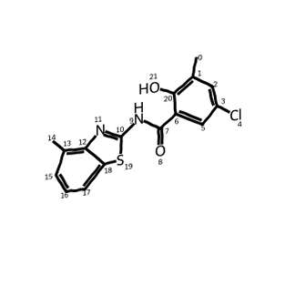 Cc1cc(Cl)cc(C(=O)Nc2nc3c(C)cccc3s2)c1O